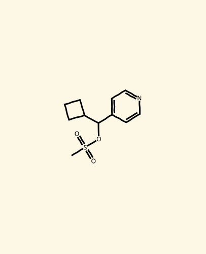 CS(=O)(=O)OC(c1ccncc1)C1CCC1